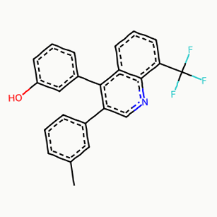 Cc1cccc(-c2cnc3c(C(F)(F)F)cccc3c2-c2cccc(O)c2)c1